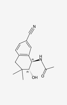 CC(=O)N[C@@H]1c2cc(C#N)ccc2CC(C)(C)[C@H]1O